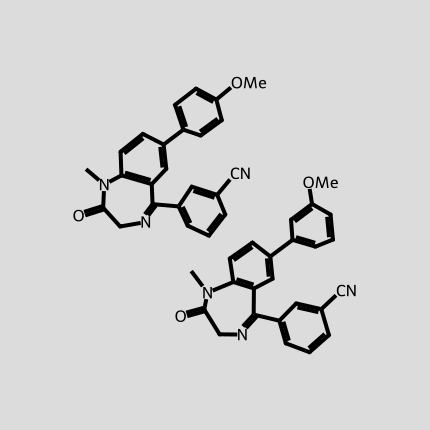 COc1ccc(-c2ccc3c(c2)C(c2cccc(C#N)c2)=NCC(=O)N3C)cc1.COc1cccc(-c2ccc3c(c2)C(c2cccc(C#N)c2)=NCC(=O)N3C)c1